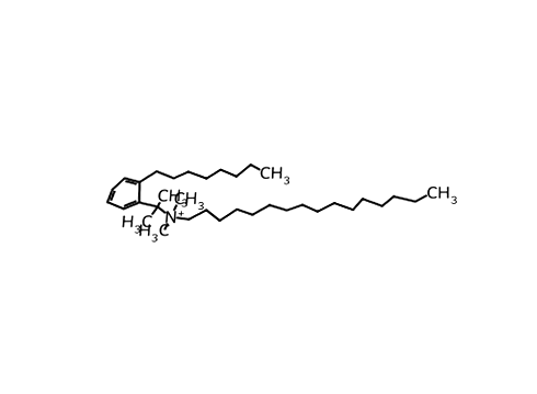 CCCCCCCCCCCCCCCC[N+](C)(C)C(C)(C)c1ccccc1CCCCCCCC